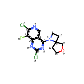 Fc1c(Cl)ncc2c(N3CCC34CCOC4)nc(Cl)nc12